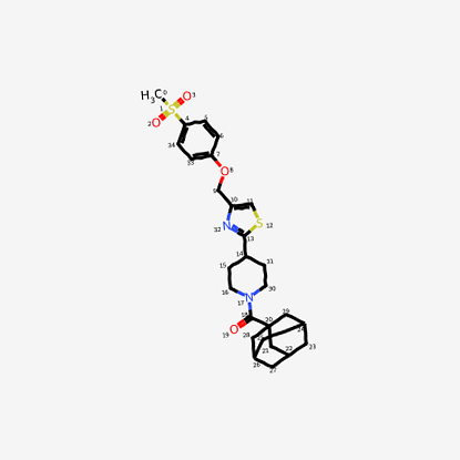 CS(=O)(=O)c1ccc(OCc2csc(C3CCN(C(=O)C45CC6CC(CC(C6)C4)C5)CC3)n2)cc1